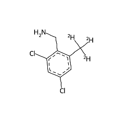 [2H]C([2H])([2H])c1cc(Cl)cc(Cl)c1CN